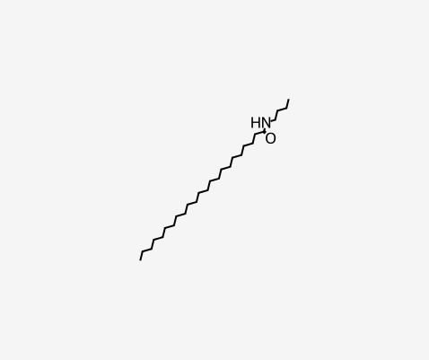 CCCCCCCCCCCCCCCCCCCCCCC(=O)NCCCC